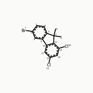 CC1(C)c2ccc(Br)cc2-c2cc(Cl)cc(Cl)c21